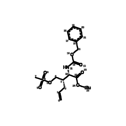 C=CC[C@H](COS(C)(=O)=O)[C@H](NC(=O)OCc1ccccc1)C(=O)OC(C)(C)C